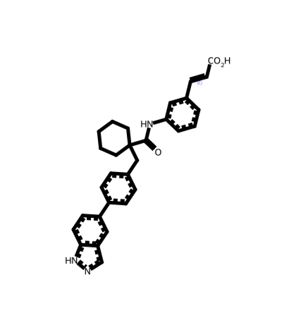 O=C(O)/C=C/c1cccc(NC(=O)C2(Cc3ccc(-c4ccc5[nH]ncc5c4)cc3)CCCCC2)c1